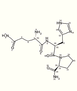 NC(=O)CC[C@H](N)C(=O)N[C@@H](Cc1c[nH]cn1)C(=O)N1CCC[C@H]1C(N)=O